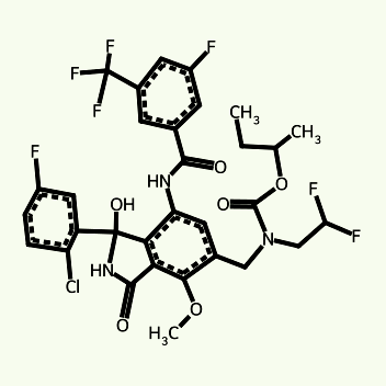 CCC(C)OC(=O)N(Cc1cc(NC(=O)c2cc(F)cc(C(F)(F)F)c2)c2c(c1OC)C(=O)NC2(O)c1cc(F)ccc1Cl)CC(F)F